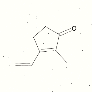 C=CC1=C(C)C(=O)CC1